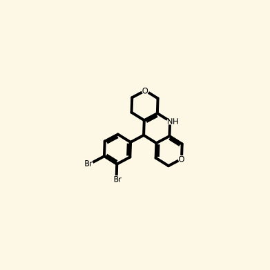 Brc1ccc(C2C3=CCOC=C3NC3=C2CCOC3)cc1Br